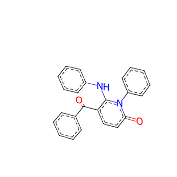 O=C(c1ccccc1)c1ccc(=O)n(-c2ccccc2)c1Nc1ccccc1